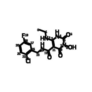 CCNc1[nH]c(=O)n(O)c(=O)c1C(=O)NCc1cc(F)ccc1Cl